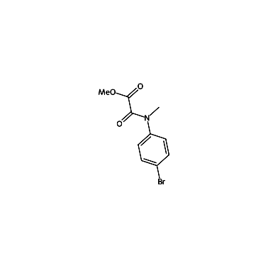 COC(=O)C(=O)N(C)c1ccc(Br)cc1